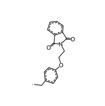 [CH2]Cc1ccc(OCCN2C(=O)c3ccccc3C2=O)cc1